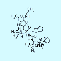 C=CCNC(=O)C(=O)C(CCC)NC(=O)[C@@H]1[C@@H]2[C@H](CN1C(=O)[C@@H](NC(=O)N[C@H](CN(C)S(=O)(=O)c1ccccn1)C(C)(C)C)C1Cc3ccccc3C1)C2(C)C